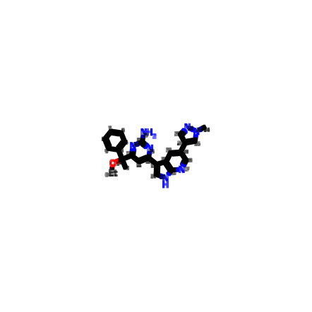 CCOC(C)(c1ccccc1)c1cc(-c2c[nH]c3ncc(-c4cnn(C)c4)cc23)nc(N)n1